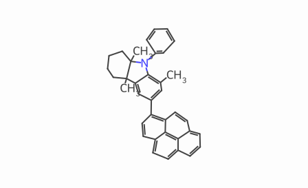 Cc1cc(-c2ccc3ccc4cccc5ccc2c3c45)cc2c1N(c1ccccc1)C1(C)CCCCC21C